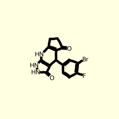 O=C1CCC2=C1C(c1ccc(F)c(Br)c1)c1c([nH][nH]c1=O)N2